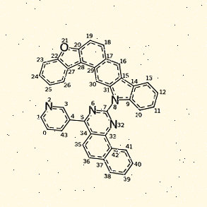 c1cncc(-c2nc(-n3c4ccccc4c4cc5ccc6oc7ccccc7c6c5cc43)nc3c2ccc2ccccc23)c1